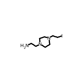 NCCN1CCN(CCI)CC1